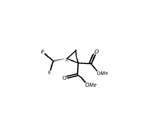 COC(=O)C1(C(=O)OC)C[C@H]1C(F)F